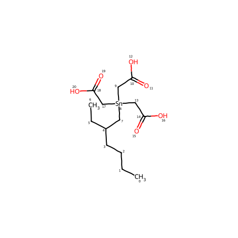 CCCCC(CC)[CH2][Sn]([CH2]C(=O)O)([CH2]C(=O)O)[CH2]C(=O)O